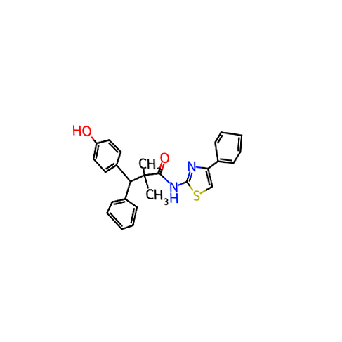 CC(C)(C(=O)Nc1nc(-c2ccccc2)cs1)C(c1ccccc1)c1ccc(O)cc1